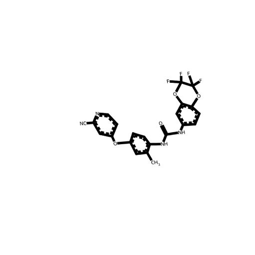 Cc1cc(Oc2ccnc(C#N)c2)ccc1NC(=O)Nc1ccc2c(c1)OC(F)(F)C(F)(F)O2